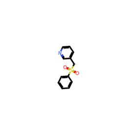 O=S(=O)([CH]c1cccnc1)c1ccccc1